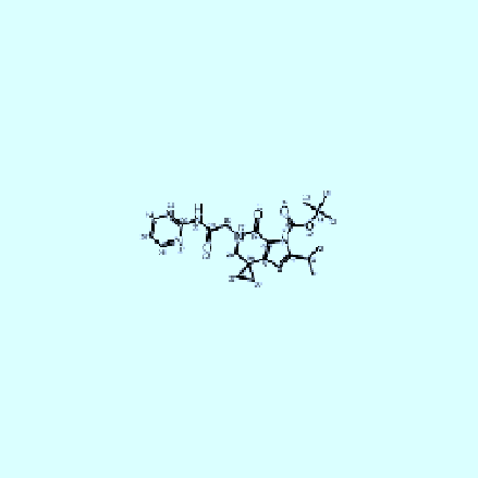 CC(C)c1cc2c(n1C(=O)OC(C)(C)C)C(=O)N(CC(=O)Nc1ncccn1)CC21CC1